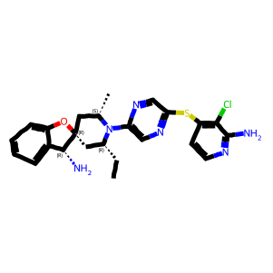 CC[C@@H]1C[C@@]2(C[C@H](C)N1c1cnc(Sc3ccnc(N)c3Cl)cn1)Oc1ccccc1[C@H]2N